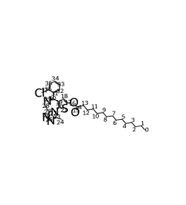 CCCCCCCCCCCCCCC(=O)Oc1cc2c(s1)-n1c(C)nnc1CN=C2c1ccccc1Cl